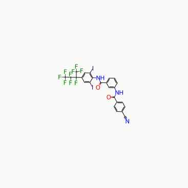 N#Cc1ccc(C(=O)Nc2cccc(C(=O)Nc3c(I)cc(C(F)(C(F)(F)F)C(F)(F)C(F)(F)F)cc3I)c2)cc1